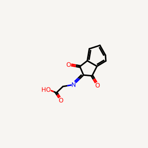 O=C(O)CN=c1c(=O)c2ccccc2c1=O